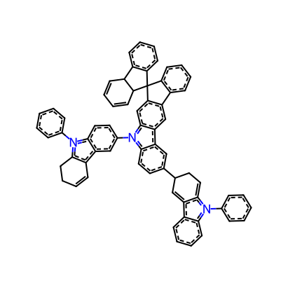 C1=CC2c3ccccc3C3(c4ccccc4-c4cc5c6cc(C7C=c8c(n(-c9ccccc9)c9ccccc89)=CC7)ccc6n(-c6ccc7c(c6)c6c(n7-c7ccccc7)CCC=C6)c5cc43)C2C=C1